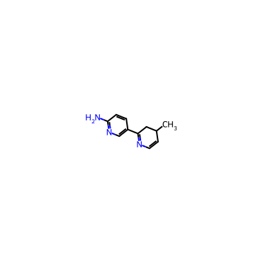 CC1C=CN=C(c2ccc(N)nc2)C1